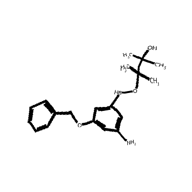 CC(C)(O)C(C)(C)OBc1cc(N)cc(OCc2ccccc2)c1